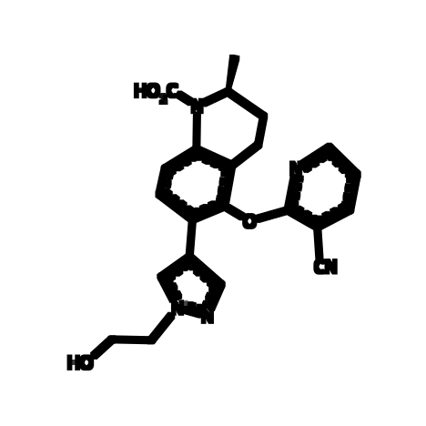 C[C@H]1CCc2c(ccc(-c3cnn(CCO)c3)c2Oc2ncccc2C#N)N1C(=O)O